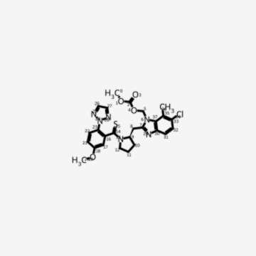 COC(=O)OCn1c(C[C@H]2CCCN2C(=S)c2cc(OC)ccc2-n2nccn2)nc2ccc(Cl)c(C)c21